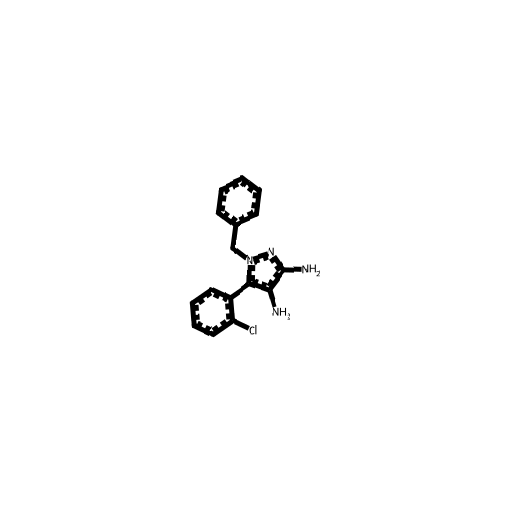 Nc1nn(Cc2ccccc2)c(-c2ccccc2Cl)c1N